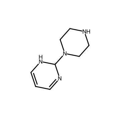 C1=CN[C](N2CCNCC2)N=C1